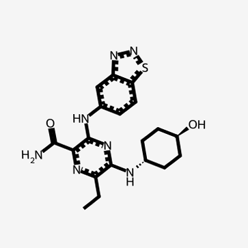 CCc1nc(C(N)=O)c(Nc2ccc3snnc3c2)nc1N[C@H]1CC[C@H](O)CC1